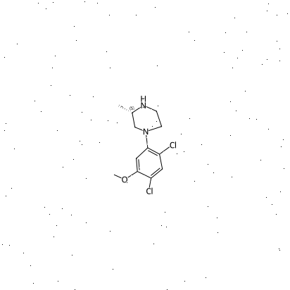 COc1cc(N2CCN[C@@H](C)C2)c(Cl)cc1Cl